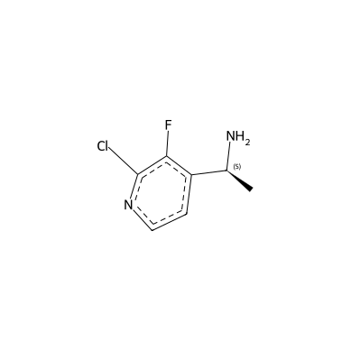 C[C@H](N)c1ccnc(Cl)c1F